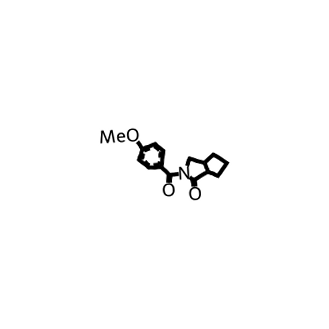 COc1ccc(C(=O)N2CC3CCCC3C2=O)cc1